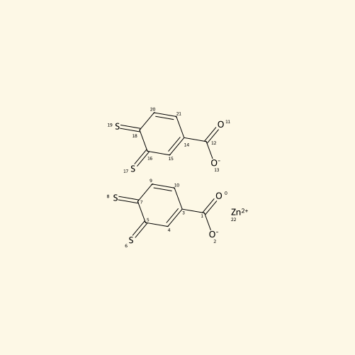 O=C([O-])C1=CC(=S)C(=S)C=C1.O=C([O-])C1=CC(=S)C(=S)C=C1.[Zn+2]